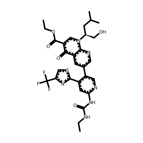 CCNC(=O)Nc1cc(-c2nc(C(F)(F)F)cs2)c(-c2cnc3c(c2)c(=O)c(C(=O)OCC)cn3[C@H](CO)CC(C)C)cn1